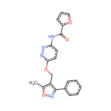 Cc1onc(-c2ccccc2)c1COc1ccc(NC(=O)c2ccco2)nn1